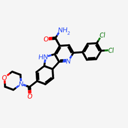 NC(=O)c1cc(-c2ccc(Cl)c(Cl)c2)nc2c1NC1C=C(C(=O)N3CCOCC3)C=CC21